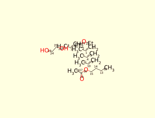 C=CC.C=CC.C=CC.C=CC.CCCCOC(C)=O.CCOCC.OCCO